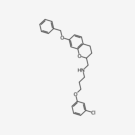 Clc1cccc(OCCCNCC2CCc3ccc(OCc4ccccc4)cc3O2)c1